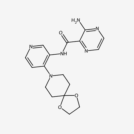 Nc1nccnc1C(=O)Nc1cnccc1N1CCC2(CC1)OCCO2